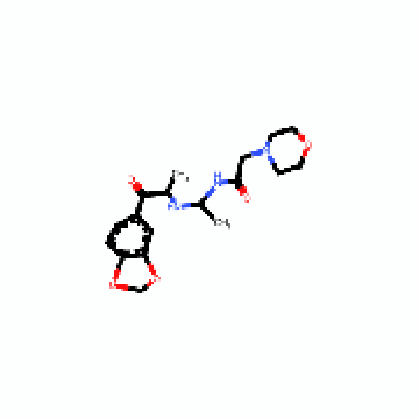 CC(NC(=O)CN1CCOCC1)NC(C)C(=O)c1ccc2c(c1)OCO2